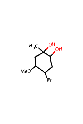 COC1CC(C)(O)C(O)CC1C(C)C